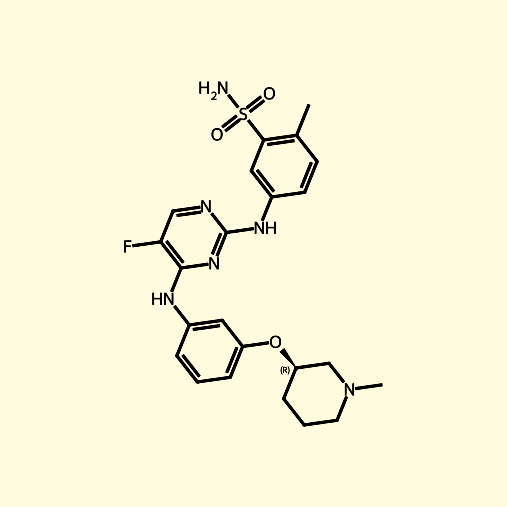 Cc1ccc(Nc2ncc(F)c(Nc3cccc(O[C@@H]4CCCN(C)C4)c3)n2)cc1S(N)(=O)=O